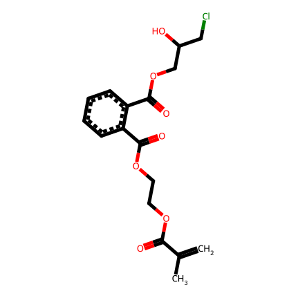 C=C(C)C(=O)OCCOC(=O)c1ccccc1C(=O)OCC(O)CCl